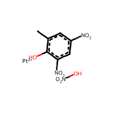 Cc1cc([N+](=O)[O-])cc([N+](=O)[O-])c1O.O=[N+]([O-])O.[Pt+2]